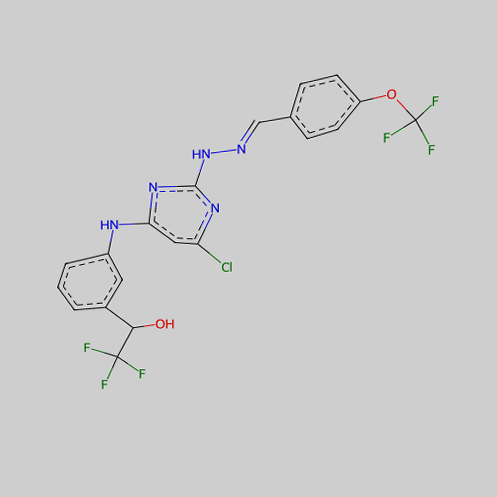 OC(c1cccc(Nc2cc(Cl)nc(N/N=C/c3ccc(OC(F)(F)F)cc3)n2)c1)C(F)(F)F